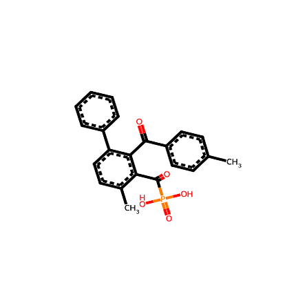 Cc1ccc(C(=O)c2c(-c3ccccc3)ccc(C)c2C(=O)P(=O)(O)O)cc1